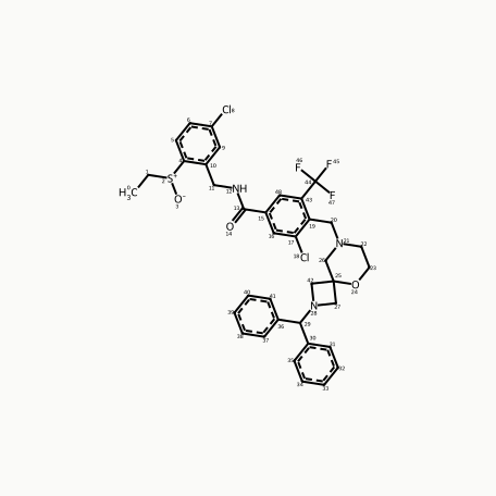 CC[S+]([O-])c1ccc(Cl)cc1CNC(=O)c1cc(Cl)c(CN2CCOC3(C2)CN(C(c2ccccc2)c2ccccc2)C3)c(C(F)(F)F)c1